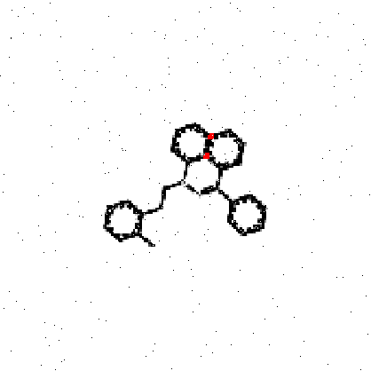 Cc1ccccc1CCN(N=C(c1ccccc1)c1ccccc1)c1ccccc1